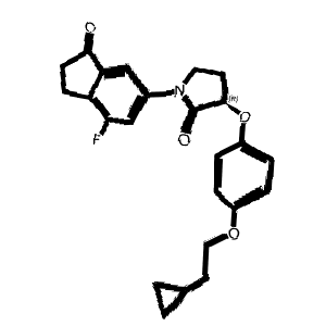 O=C1CCc2c(F)cc(N3CC[C@@H](Oc4ccc(OCCC5CC5)cc4)C3=O)cc21